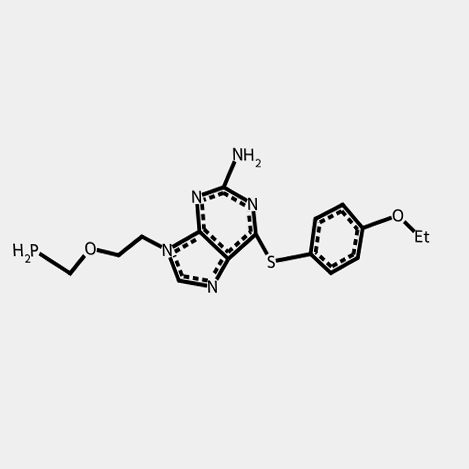 CCOc1ccc(Sc2nc(N)nc3c2ncn3CCOCP)cc1